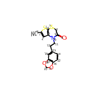 N#Cc1cc2c(s1)SCC(=O)N2CCc1ccc2c(c1)OCO2